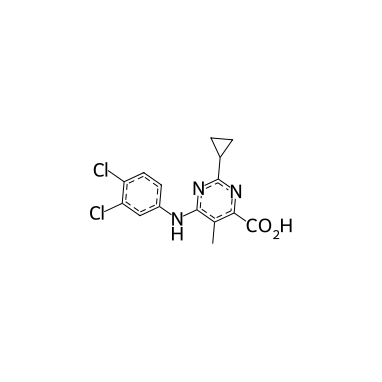 Cc1c(Nc2ccc(Cl)c(Cl)c2)nc(C2CC2)nc1C(=O)O